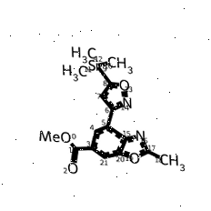 COC(=O)c1cc(-c2cc([Si](C)(C)C)on2)c2nc(C)oc2c1